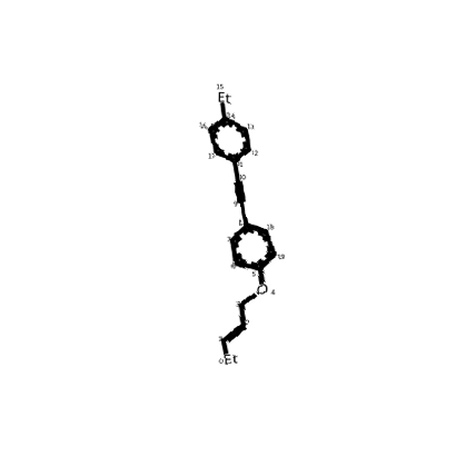 CCC=CCOc1ccc(C#Cc2ccc(CC)cc2)cc1